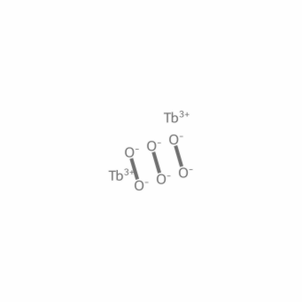 [O-][O-].[O-][O-].[O-][O-].[Tb+3].[Tb+3]